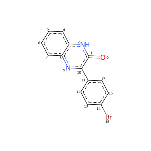 O=c1[nH]c2ccccc2nc1-c1ccc(Br)cc1